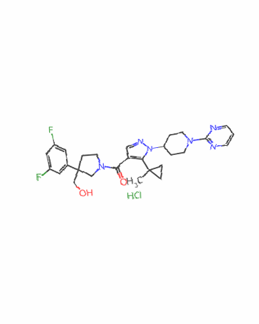 CC1(c2c(C(=O)N3CCC(CO)(c4cc(F)cc(F)c4)C3)cnn2C2CCN(c3ncccn3)CC2)CC1.Cl